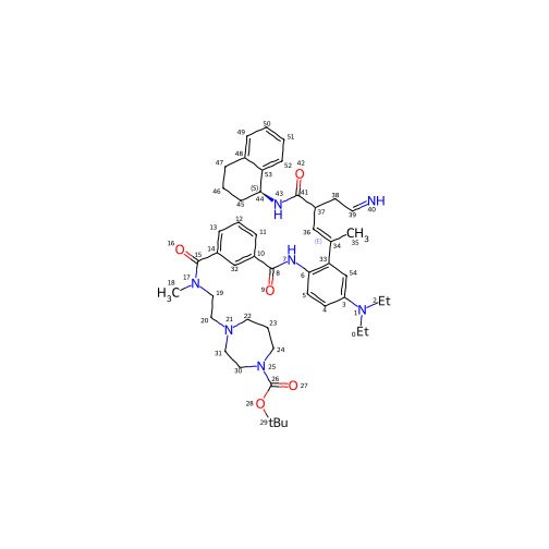 CCN(CC)c1ccc(NC(=O)c2cccc(C(=O)N(C)CCN3CCCN(C(=O)OC(C)(C)C)CC3)c2)c(/C(C)=C/C(CC=N)C(=O)N[C@H]2CCCc3ccccc32)c1